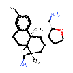 CC(C)c1ccc2c(c1)CC[C@H]1[C@](C)(CN)CCC[C@]21C.NC[C@H]1CCCO1